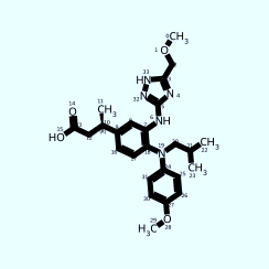 COCc1nc(Nc2cc([C@H](C)CC(=O)O)ccc2N(CC(C)C)c2ccc(OC)cc2)n[nH]1